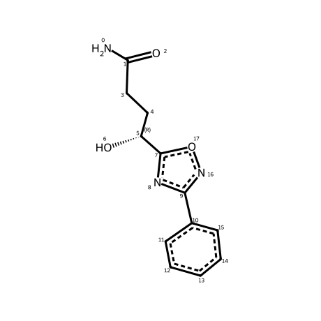 NC(=O)CC[C@@H](O)c1nc(-c2ccccc2)no1